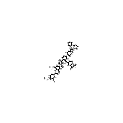 CC(C)c1ccccc1[C@H]1CCCN1C1CC2(CCN(c3ccc(C(=O)NS(=O)(=O)c4cc5c(c([N+](=O)[O-])c4)SC(C4CCC(C)(C)CC4)CO5)c(Oc4cnc5[nH]cc(F)c5c4)c3)CC2)C1